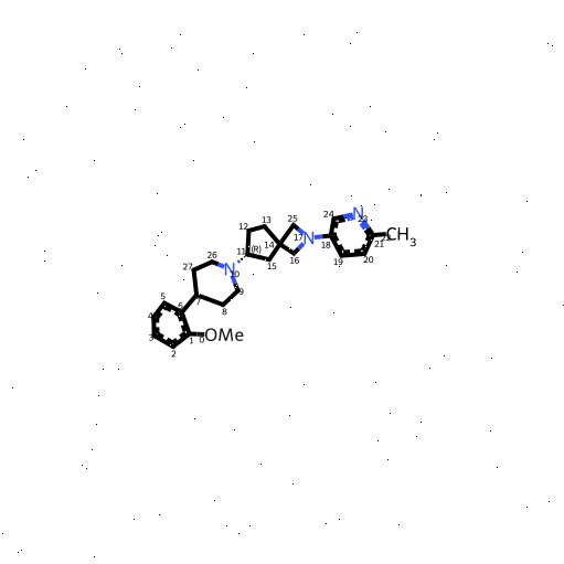 COc1ccccc1C1CCN([C@@H]2CCC3(C2)CN(c2ccc(C)nc2)C3)CC1